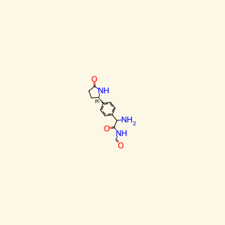 NC(C(=O)NC=O)c1ccc([C@H]2CCC(=O)N2)cc1